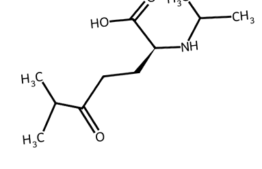 CC(C)N[C@@H](CCC(=O)C(C)C)C(=O)O